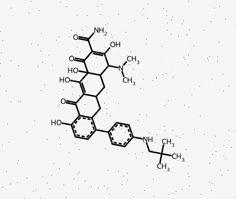 CN(C)C1C(O)=C(C(N)=O)C(=O)C2(O)C(O)=C3C(=O)c4c(O)ccc(-c5ccc(NCC(C)(C)C)cc5)c4CC3CC12